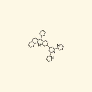 c1ccc(-c2c3ccc(-c4cc(-c5ccccn5)nc(-c5ccccn5)c4)cc3nc3c2ccc2ccccc23)cc1